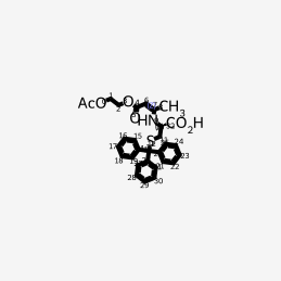 CC(=O)OCCOC(=O)/C=C(/C)N[C@H](CSC(c1ccccc1)(c1ccccc1)c1ccccc1)C(=O)O